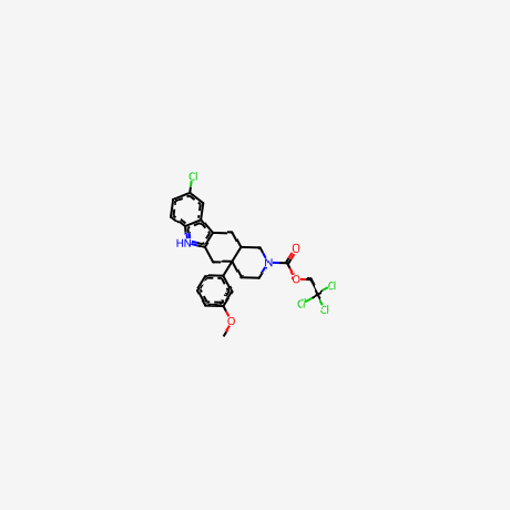 COc1cccc(C23CCN(C(=O)OCC(Cl)(Cl)Cl)CC2Cc2c([nH]c4ccc(Cl)cc24)C3)c1